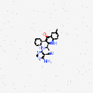 Cc1ccc2[nH]c(C(C)Nc3ncnc(N)c3C#N)c(-c3ccccc3)c(=O)c2c1